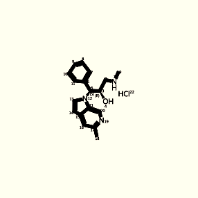 CNC[C@@H](O)[C@H](c1ccccc1)n1ccc2cc(C)ncc21.Cl